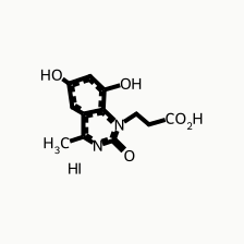 Cc1nc(=O)n(CCC(=O)O)c2c(O)cc(O)cc12.I